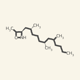 CCCCC(C)C[C@H](C)CCC[C@@H](C)C[C@H]1NOC1C